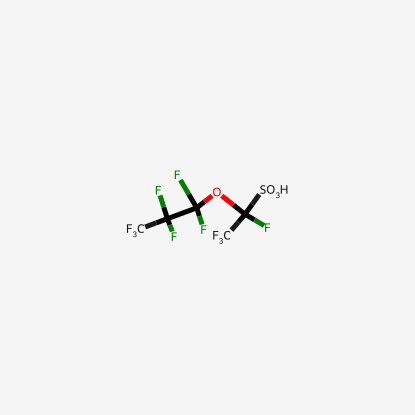 O=S(=O)(O)C(F)(OC(F)(F)C(F)(F)C(F)(F)F)C(F)(F)F